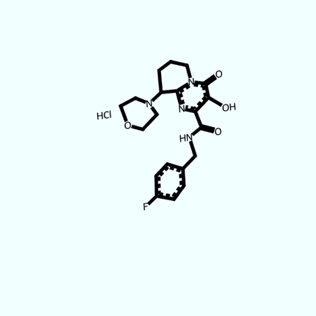 Cl.O=C(NCc1ccc(F)cc1)c1nc2n(c(=O)c1O)CCCC2N1CCOCC1